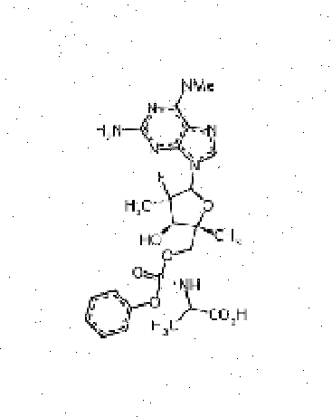 CNc1nc(N)nc2c1ncn2C1O[C@](C)(CO[P@@](=O)(NC(C)C(=O)O)Oc2ccccc2)[C@@H](O)[C@@]1(C)F